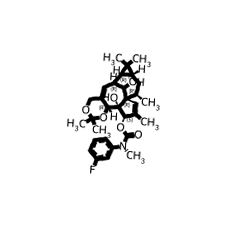 CC1=C[C@]23C(O)[C@@H](C=C4COC(C)(C)O[C@H]4[C@]2(O)[C@H]1OC(=O)N(C)c1cccc(F)c1)[C@H]1[C@@H](C[C@H]3C)C1(C)C